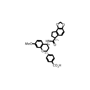 COc1ccc2c(c1)O[C@@H](c1ccc(C(=O)O)cc1)C[C@H]2NC(=O)[C@@]1(C)CCc2c1ccc1c2OCO1